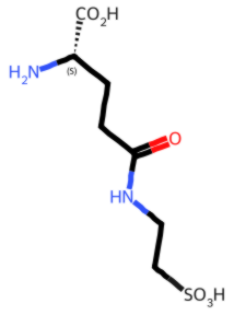 N[C@@H](CCC(=O)NCCS(=O)(=O)O)C(=O)O